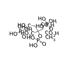 CC(=O)O.O=C(O)CC(CC(=O)O)(OP(=O)(O)O)C(=O)O.O=P(O)(O)O.O=P(O)(O)O